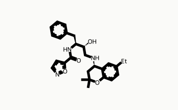 CCc1ccc2c(c1)[C@@H](NC[C@@H](O)[C@H](Cc1ccccc1)NC(=O)c1ccno1)CC(C)(C)O2